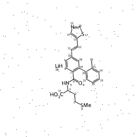 CSCCC(NC(=O)c1ccc(C=Cc2cncs2)cc1-c1ccccc1C)C(=O)O.[LiH]